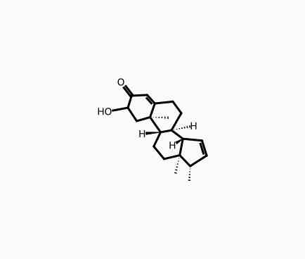 C[C@H]1C=C[C@H]2[C@@H]3CCC4=CC(=O)C(O)C[C@]4(C)[C@H]3CC[C@]12C